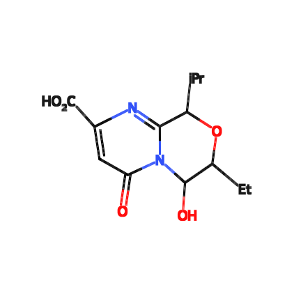 CCC1OC(C(C)C)c2nc(C(=O)O)cc(=O)n2C1O